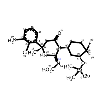 CC(C)(C)[Si](C)(C)O[C@H]1C[C@@H](N2C(=O)C[C@@](C)(c3cccc(N)c3Cl)N/C2=N\C(=O)O)CCC1(F)F